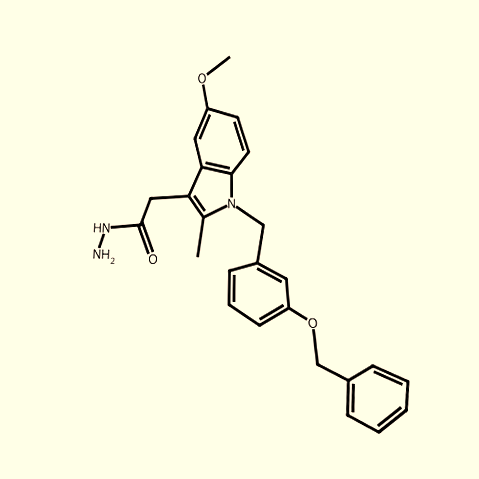 COc1ccc2c(c1)c(CC(=O)NN)c(C)n2Cc1cccc(OCc2ccccc2)c1